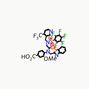 COc1cc(C(=O)O)ccc1N(Cc1nc2ccccc2s1)C(=O)CN(Cc1cnccc1C(F)(F)F)S(=O)(=O)c1c(F)c(F)c(F)c(F)c1F